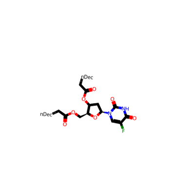 CCCCCCCCCCCC(=O)OC[C@@H]1O[C@H](n2cc(F)c(=O)[nH]c2=O)CC1OC(=O)CCCCCCCCCCC